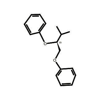 CC(C)[C@@H](COc1ccccc1)Oc1ccccc1